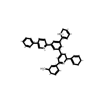 CC1C=C(C2=NC(C3=CCCC=C3)CC(c3cc(C4=CC=CCN4)cc(-c4ccc(-c5ccccc5)cn4)c3)=C2)C=CC1